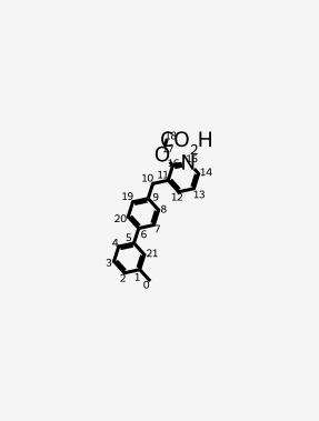 Cc1cccc(-c2ccc(Cc3cccnc3OC(=O)O)cc2)c1